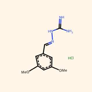 COc1cc(C=NNC(=N)N)cc(OC)c1.Cl